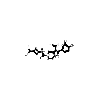 NC(=O)c1c(-c2ccc(Cl)c(Cl)c2)nn2c1CN(C(=O)NC1CC(C(F)F)C1)CC2